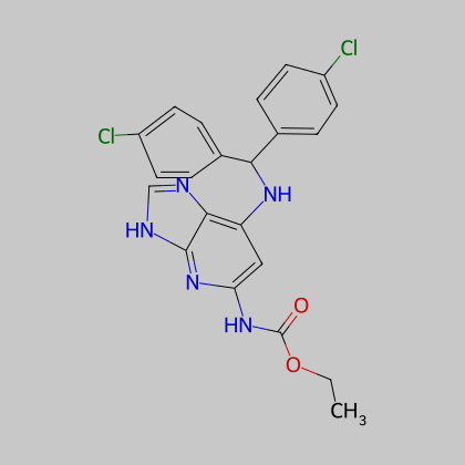 CCOC(=O)Nc1cc(NC(c2ccc(Cl)cc2)c2ccc(Cl)cc2)c2nc[nH]c2n1